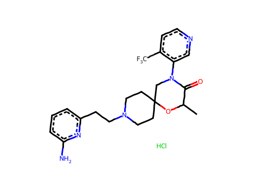 CC1OC2(CCN(CCc3cccc(N)n3)CC2)CN(c2cnccc2C(F)(F)F)C1=O.Cl